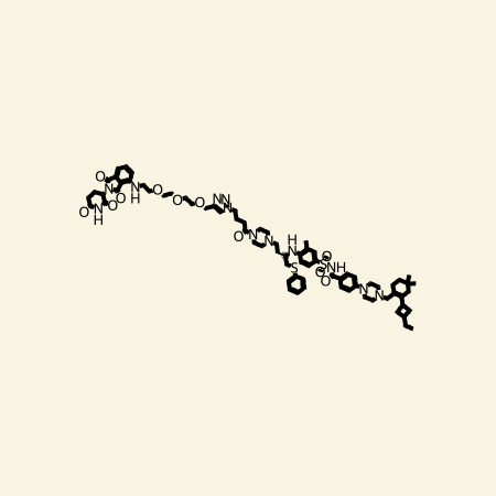 CCC1CC(C2=C(CN3CCN(c4ccc(C(=O)NS(=O)(=O)c5ccc(N[C@H](CCN6CCN(C(=O)CCCn7cc(COCCOCCOCCNc8cccc9c8C(=O)N(C8CCC(=O)NC8=O)C9=O)nn7)CC6)CSc6ccccc6)c(C)c5)cc4)CC3)CCC(C)(C)C2)C1